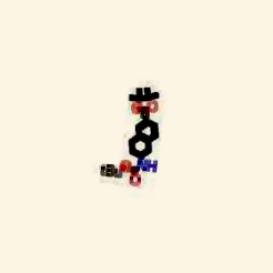 CC(C)(C)OC(=O)NC1CCc2cc(B3OC(C)(C)C(C)(C)O3)ccc2C1